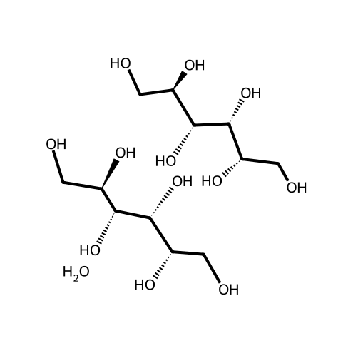 O.OC[C@@H](O)[C@@H](O)[C@H](O)[C@@H](O)CO.OC[C@@H](O)[C@@H](O)[C@H](O)[C@@H](O)CO